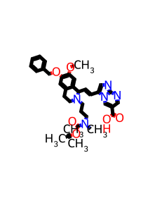 COc1cc2c(cc1OCc1ccccc1)CCN(CCCN(C)C(=O)OC(C)(C)C)C2/C=C/c1cnc2ncc(C(=O)O)cn12